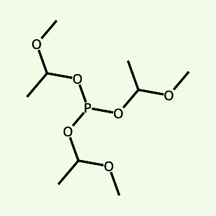 COC(C)OP(OC(C)OC)OC(C)OC